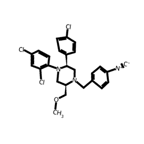 [C-]#[N+]c1ccc(CN2C[C@H](c3ccc(Cl)cc3)N(c3ccc(Cl)cc3Cl)C[C@@H]2COC)cc1